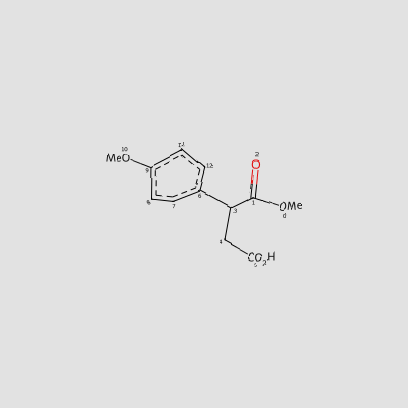 COC(=O)C(CC(=O)O)c1ccc(OC)cc1